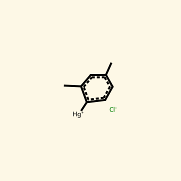 Cc1cc[c]([Hg+])c(C)c1.[Cl-]